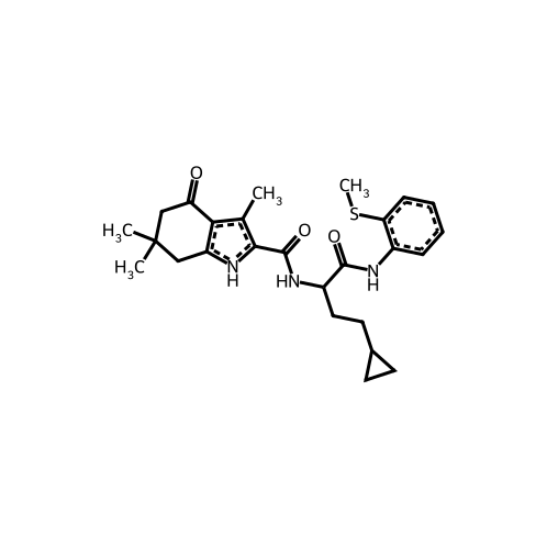 CSc1ccccc1NC(=O)C(CCC1CC1)NC(=O)c1[nH]c2c(c1C)C(=O)CC(C)(C)C2